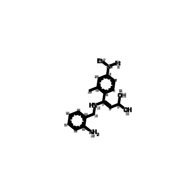 CCN(CC)c1ccc(/C(=C\C(O)O)NCc2ccccc2N)c(C)c1